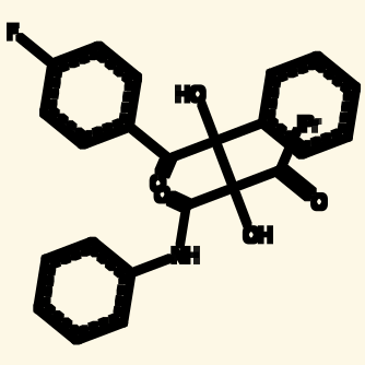 CC(C)C(=O)C(O)(C(=O)Nc1ccccc1)C(O)(C(=O)c1ccc(F)cc1)c1ccccc1